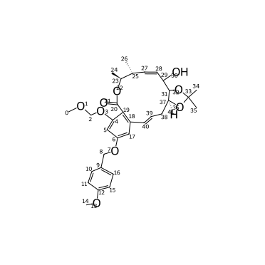 COCOc1cc(OCc2ccc(OC)cc2)cc2c1C(=O)O[C@@H](C)[C@H](C)/C=C\C(O)C1OC(C)(C)O[C@H]1C/C=C/2